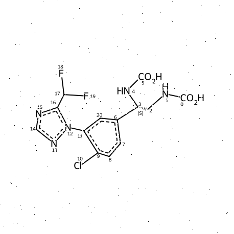 O=C(O)NC[C@@H](NC(=O)O)c1ccc(Cl)c(-n2ncnc2C(F)F)c1